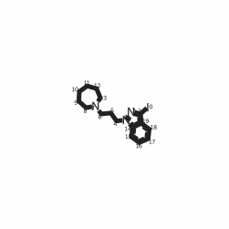 Ic1nn(CCCN2CCCCCC2)c2ccccc12